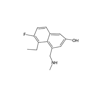 CCc1c(F)ccc2cc(O)cc(CNC)c12